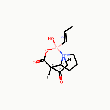 C/C=C/[B-]1(O)OC(=O)[C@H]2C(=O)C[N+]13CCC[C@@H]23